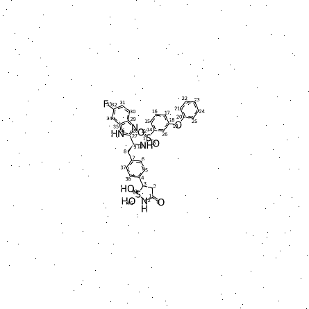 O=C1CC(c2ccc(C[C@H](NS(=O)(=O)c3cccc(Oc4ccccc4)c3)c3nc4ccc(F)cc4[nH]3)cc2)S(O)(O)N1